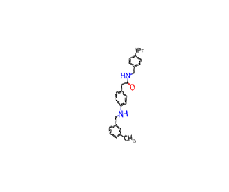 Cc1cccc(CNc2ccc(CC(=O)NCc3ccc(C(C)C)cc3)cc2)c1